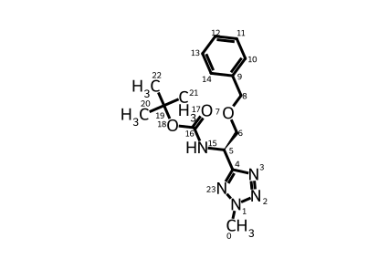 Cn1nnc([C@H](COCc2ccccc2)NC(=O)OC(C)(C)C)n1